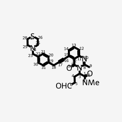 CNC(=O)C(CCC=O)n1c(C)nc2cccc(C#CCc3ccc(CN4CCSCC4)cc3)c2c1=O